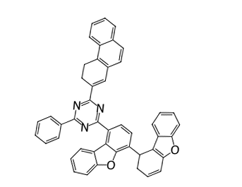 C1=Cc2oc3ccccc3c2C(c2ccc(-c3nc(C4=Cc5ccc6ccccc6c5CC4)nc(-c4ccccc4)n3)c3c2oc2ccccc23)C1